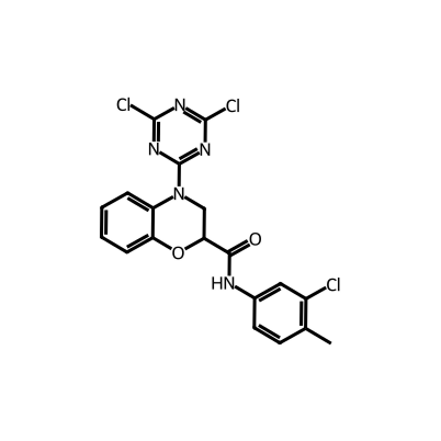 Cc1ccc(NC(=O)C2CN(c3nc(Cl)nc(Cl)n3)c3ccccc3O2)cc1Cl